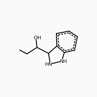 CCC(O)C1NNc2ccccc21